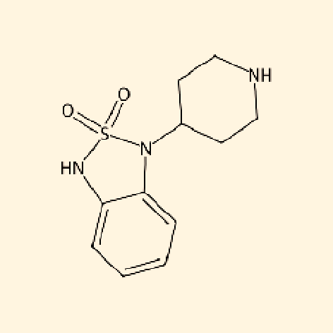 O=S1(=O)Nc2ccccc2N1C1CCNCC1